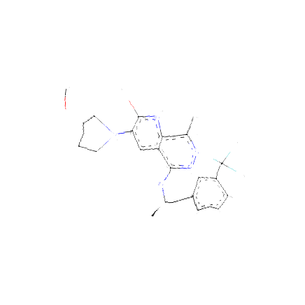 CO[C@H]1CCN(c2cc3c(N[C@H](C)c4cccc(C(F)(F)F)c4)nnc(C)c3nc2O)C1